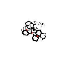 CN(Cc1ccc2c(c1)OCCO2)C(=O)N1[C@H]2CC[C@@H]1[C@@H](C(=O)O)N(C(=O)N(c1ccccc1)c1ccccc1)C2